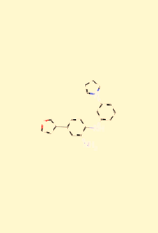 Nc1cc(-c2ccoc2)ccc1Nc1cccc(-n2cccc2)c1